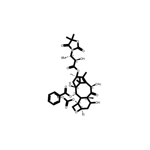 COC(=O)O[C@@]12CO[C@@H]1CC(O)[C@@]1(C)C(=O)[C@H](OC(C)=O)C3=C(C)[C@](C)(OC(=O)[C@H](O)[C@@H](N4C(=O)OC(C)(C)C4=O)C(C)(C)C)C[C@@](O)([C@@H](OC(=O)c4ccccc4)C12)C3(C)C